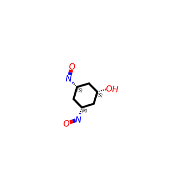 O=N[C@@H]1C[C@H](O)C[C@H](N=O)C1